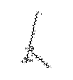 CCCCCCCCCCCCCCCCCCCCCC(=O)N[C@@H](CCCCNC(=N)N)C(=O)NCCCCCCCCCCCC